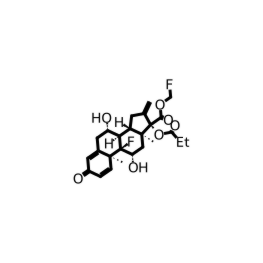 C=C1C[C@H]2[C@@H]3[C@@H](O)CC4=CC(=O)C=C[C@]4(C)[C@@]3(F)[C@@H](O)C[C@]2(C)[C@]1(OC(=O)CC)C(=O)OCF